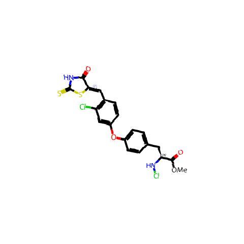 COC(=O)[C@H](Cc1ccc(Oc2ccc(/C=C3\SC(=S)NC3=O)c(Cl)c2)cc1)NCl